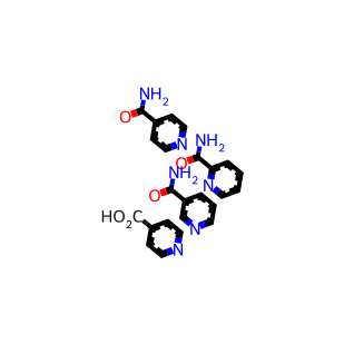 NC(=O)c1ccccn1.NC(=O)c1cccnc1.NC(=O)c1ccncc1.O=C(O)c1ccncc1